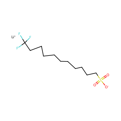 O=S(=O)([O-])CCCCCCCCCCC(F)(F)F.[Li+]